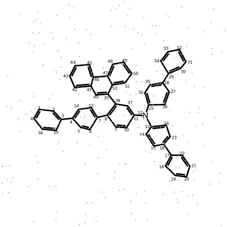 c1ccc(-c2ccc(-c3ccc(N(c4ccc(-c5ccccc5)cc4)c4ccc(-c5ccccc5)cc4)cc3-c3cc4ccccc4c4ccccc34)cc2)cc1